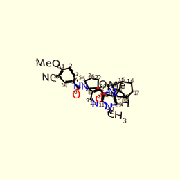 COc1ccc(C(=O)Nc2cnc3c(c([C@@H]4C5CC[C@H]4CN(C(=O)C4CCCC4)C5)cn3C)c2OC)cc1C#N